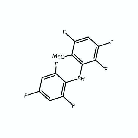 COc1c(F)cc(F)c(F)c1Bc1c(F)cc(F)cc1F